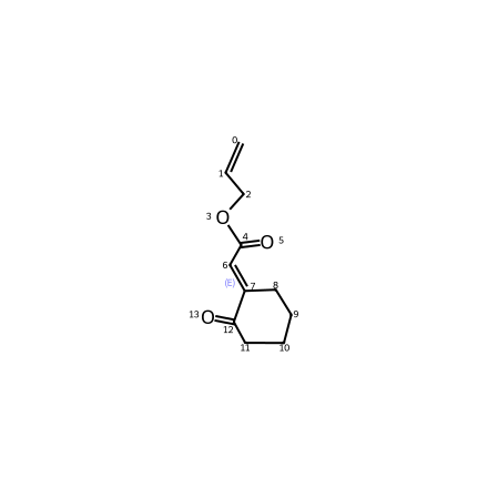 C=CCOC(=O)/C=C1\CCCCC1=O